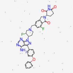 Nc1ncnc2c1c(-c1ccc(Oc3ccccc3)cc1)nn2[C@@H]1CCN(Cc2cc(F)c3c(c2)CN(C2CCC(=O)NC2=O)C3=O)C[C@@H]1F